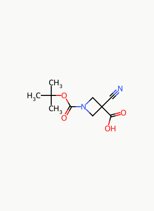 CC(C)(C)OC(=O)N1CC(C#N)(C(=O)O)C1